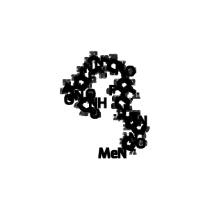 CNc1ccn(-c2ccnc3c2cc([C@H](C)N2CC=C(c4c(C)cc(C(=O)N5CCC(CN6CCN(Cc7cc8c(cc7F)N(C7CCC(=O)NC7=O)C(=O)C87CC7)C[C@@H]6C)CC5)cc4F)CC2)n3C)c(=O)c1